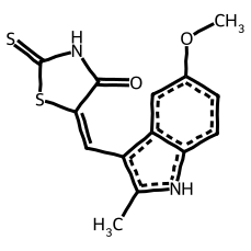 COc1ccc2[nH]c(C)c(/C=C3/SC(=S)NC3=O)c2c1